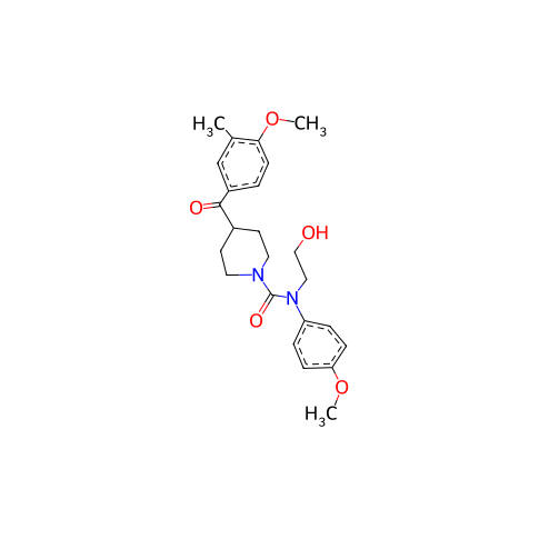 COc1ccc(N(CCO)C(=O)N2CCC(C(=O)c3ccc(OC)c(C)c3)CC2)cc1